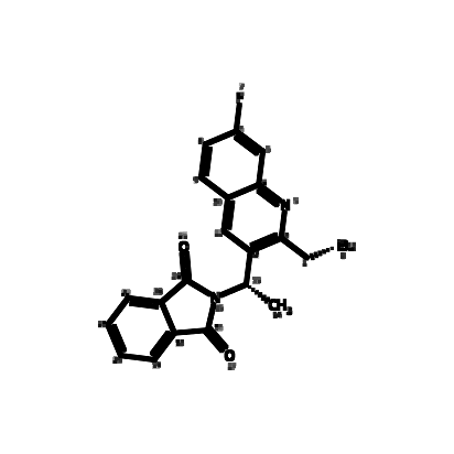 CC[C@@H](C)Cc1nc2cc(F)ccc2cc1[C@H](C)N1C(=O)c2ccccc2C1=O